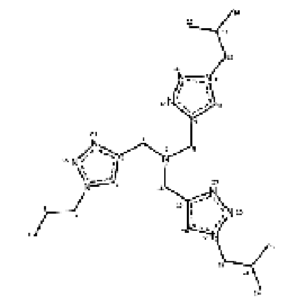 CCCn1cc(CN(Cc2cn(CC(C)C)nn2)Cc2cn(CC(C)C)nn2)nn1